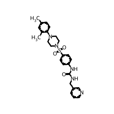 Cc1ccc(N2CCN(S(=O)(=O)c3ccc(NC(=O)NCc4cccnc4)cc3)CC2)c(C)c1